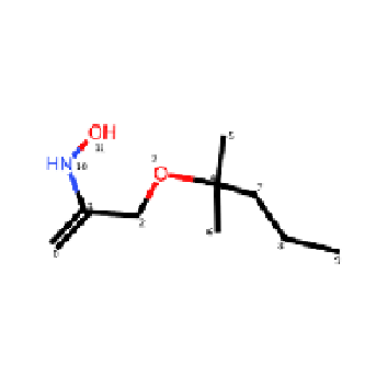 C=C(COC(C)(C)CCC)NO